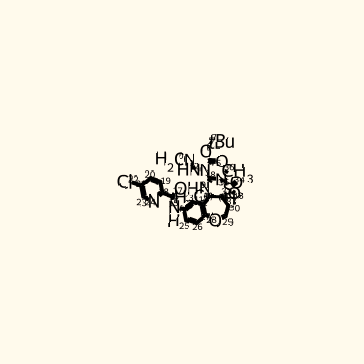 C=NNN(C(=O)OC(C)(C)C)C1=N[C@]2(C)c3cc(NC(O)c4ccc(Cl)cn4)ccc3OCC[C@H]2S(=O)(=O)N1C